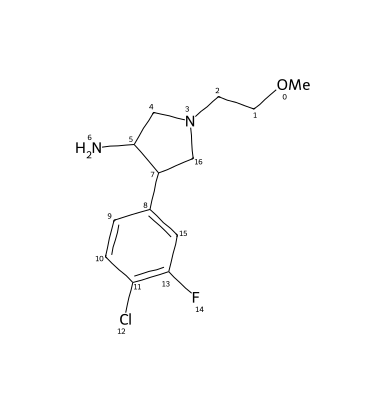 COCCN1CC(N)C(c2ccc(Cl)c(F)c2)C1